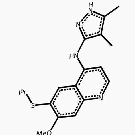 COc1cc2nccc(Nc3n[nH]c(C)c3C)c2cc1SC(C)C